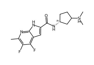 Cc1nc2[nH]c(C(=O)N[C@@H]3CCC([SiH](C)C)C3)cc2c(F)c1F